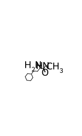 CNC(=O)[C@@H](N)CCC1CCCCC1